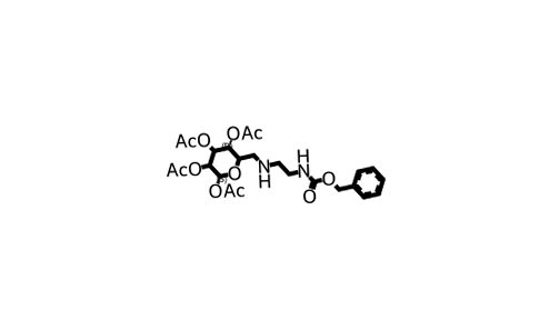 CC(=O)OC1C(OC(C)=O)[C@H](OC(C)=O)C(CNCCNC(=O)OCc2ccccc2)O[C@H]1OC(C)=O